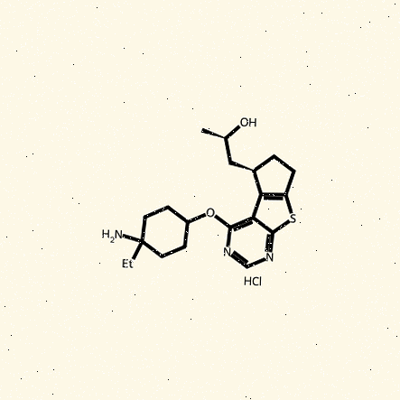 CCC1(N)CCC(Oc2ncnc3sc4c(c23)[C@@H](C[C@@H](C)O)CC4)CC1.Cl